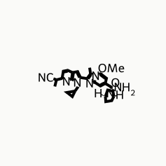 COc1cc(C(=O)N2[C@H]3CC[C@@H]2[C@H](N)C3)cc2nc(-c3cc4ccc(C(C)C#N)nc4n3CC3CC3)c(C)n12